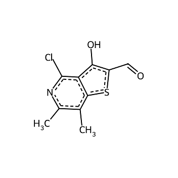 Cc1nc(Cl)c2c(O)c(C=O)sc2c1C